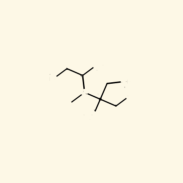 CN(C(CO)C(=O)O)C(CO)(CO)C(=O)O